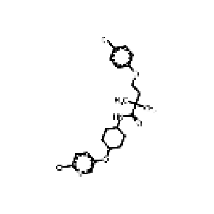 CC(C)(CCOc1ccc(Cl)cc1)C(=O)NC1CCC(Oc2ccc(Cl)nc2)CC1